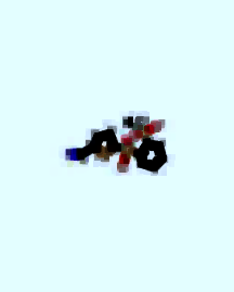 CS(=O)(=O)c1ccccc1S(=O)(=O)c1ccc(C#N)s1